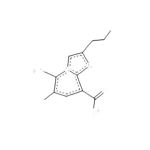 CCCc1cn2c(N)c(Cl)cc(C(=O)O)c2n1